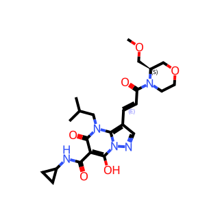 COC[C@H]1COCCN1C(=O)/C=C/c1cnn2c(O)c(C(=O)NC3CC3)c(=O)n(CC(C)C)c12